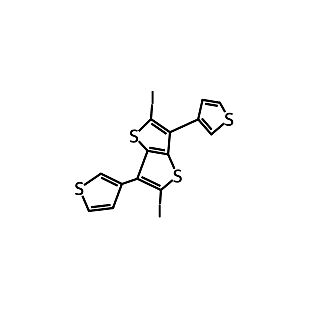 Ic1sc2c(-c3ccsc3)c(I)sc2c1-c1ccsc1